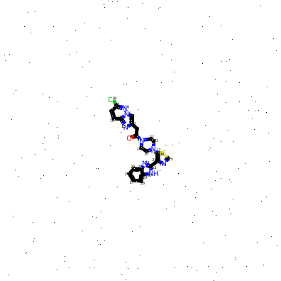 O=C(Cc1cn2nc(Cl)ccc2n1)N1CCN(c2scnc2-c2nc3ccccc3[nH]2)CC1